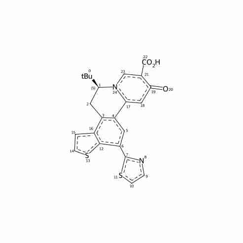 CC(C)(C)[C@@H]1Cc2c(cc(-c3nccs3)c3sccc23)-c2cc(=O)c(C(=O)O)cn21